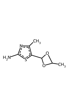 Cc1nc(N)sc1C1OC(C)O1